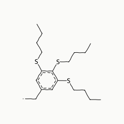 [CH2]Cc1cc(SCCCC)c(SCCCC)c(SCCCC)c1